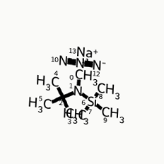 CN(C(C)(C)C)[Si](C)(C)C.[N-]=[N+]=[N-].[Na+]